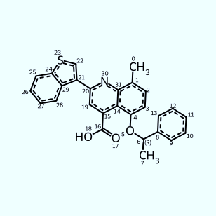 Cc1ccc(O[C@H](C)c2ccccc2)c2c(C(=O)O)cc(-c3csc4ccccc34)nc12